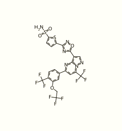 NS(=O)(=O)c1ccc(-c2noc(-c3cnn4c(C(F)(F)F)cc(-c5ccc(C(F)(F)F)c(OCC(F)(F)F)c5)nc34)n2)s1